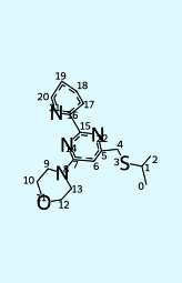 CC(C)SCc1cc(N2CCOCC2)nc(-c2ccccn2)n1